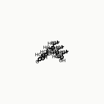 CC(C)(C)NCC(O)c1ccc(O)c(CO)c1.CC(C)(C)NCC(O)c1ccc(O)c(CO)n1.CC(C)(C)NCC(O)c1ccc(O)c(CO)n1.C[C@]12C=CC(=O)C=C1CC[C@H]1[C@@H]3C[C@@H](O)[C@](O)(C(=O)CO)[C@@]3(C)C[C@H](O)[C@@]12F